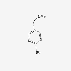 COCc1cnc(C(C)(C)C)nc1